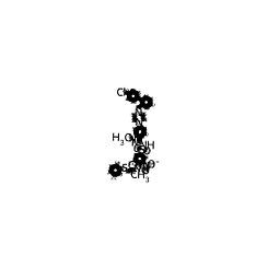 Cn1nc(NS(=O)(=O)c2ccc(NC(C)(C)CSc3ccccc3)c([N+](=O)[O-])c2)c2ccc(N3CCN(Cc4ccccc4-c4ccc(Cl)cc4)CC3)cc21